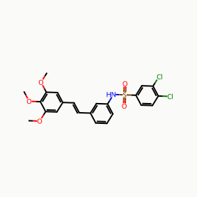 COc1cc(C=Cc2cccc(NS(=O)(=O)c3ccc(Cl)c(Cl)c3)c2)cc(OC)c1OC